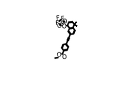 CCOC(=O)c1ccc(C#Cc2ccc3c(c2)C(OS(=O)(=O)C(F)(F)F)C=CC3(C)C)cc1